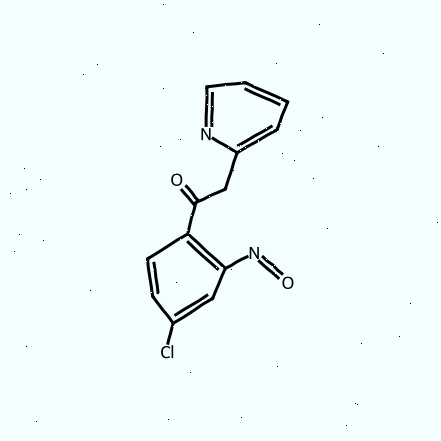 O=Nc1cc(Cl)ccc1C(=O)Cc1ccccn1